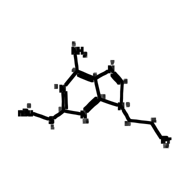 CCCCSc1nc(N)c2ncn(CCC(C)C)c2n1